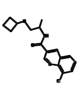 CC(COC1CCC1)NC(=O)c1cnc2c(Cl)cccc2c1